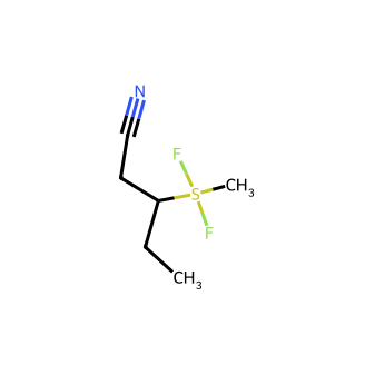 CCC(CC#N)S(C)(F)F